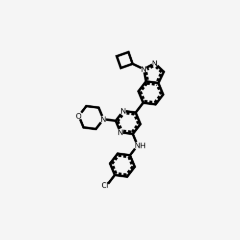 Clc1ccc(Nc2cc(-c3ccc4cnn(C5CCC5)c4c3)nc(N3CCOCC3)n2)cc1